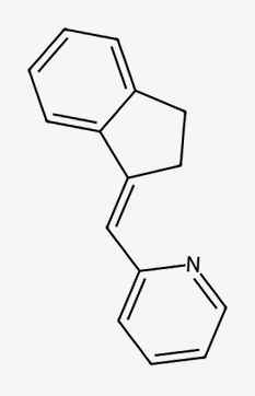 C(=C1CCc2ccccc21)c1ccccn1